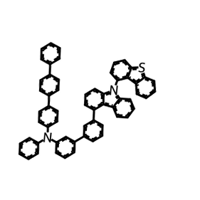 c1ccc(-c2ccc(-c3ccc(N(c4ccccc4)c4cccc(-c5cccc(-c6cccc7c6c6ccccc6n7-c6cccc7sc8ccccc8c67)c5)c4)cc3)cc2)cc1